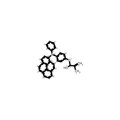 C=C(C)C(O)Oc1ccc(N(c2ccccc2)c2ccc3ccc4cccc5ccc2c3c45)cc1